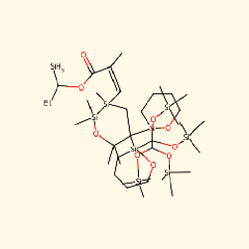 CCC([SiH3])OC(=O)C(C)=C[Si]1(C)CC([Si]2(C(O[Si](C)(C)C)O[Si](C)(C)C)CCCCO2)([Si]2(C(O[Si](C)(C)C)O[Si](C)(C)C)CCCCO2)C(C)(C)O[Si]1(C)C